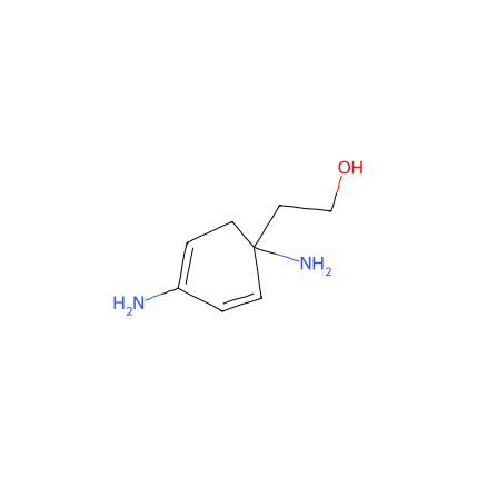 NC1=CCC(N)(CCO)C=C1